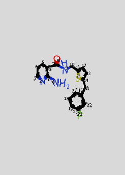 Nc1ncccc1C(=O)NCc1ccc(Cc2cccc(F)c2)s1